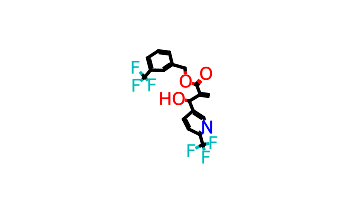 C=C(C(=O)OCc1cccc(C(F)(F)F)c1)C(O)c1ccc(C(F)(F)F)nc1